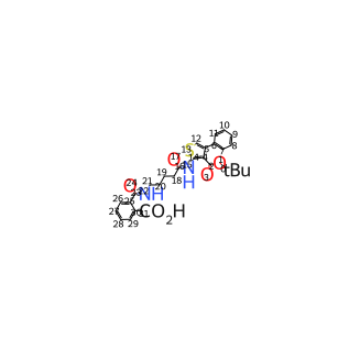 CC(C)(C)OC(=O)c1c(-c2ccccc2)csc1NC(=O)CCCCNC(=O)c1ccccc1C(=O)O